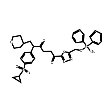 CC(C)(C)[Si](OCc1nnc(C(=O)CCC(=O)C(CC2CCOCC2)c2ccc(S(=O)(=O)C3CC3)cc2)s1)(c1ccccc1)c1ccccc1